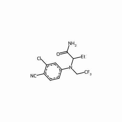 CCC(C(N)=O)N(CC(F)(F)F)c1ccc(C#N)c(Cl)c1